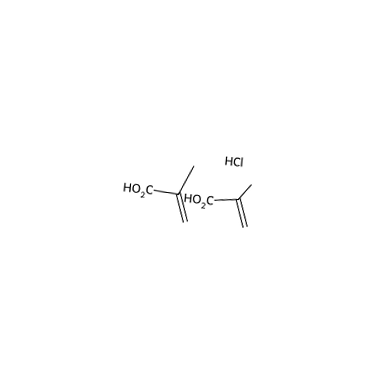 C=C(C)C(=O)O.C=C(C)C(=O)O.Cl